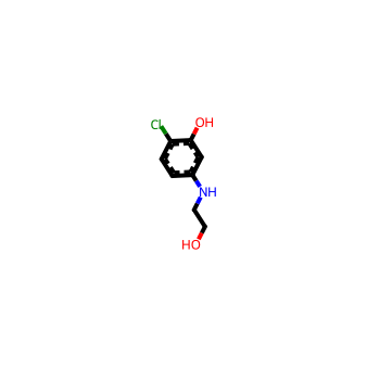 OCCNc1ccc(Cl)c(O)c1